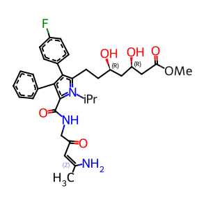 COC(=O)C[C@H](O)C[C@H](O)CCc1c(-c2ccc(F)cc2)c(-c2ccccc2)c(C(=O)NCC(=O)/C=C(/C)N)n1C(C)C